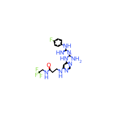 N=C(/N=C(/N)Nc1cc(NCCC(=O)NCC(F)(F)F)ncn1)Nc1ccc(F)cc1